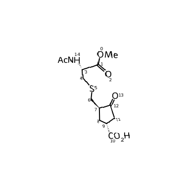 COC(=O)[C@H](CSC[C@@H]1C[C@@H](C(=O)O)CC1=O)NC(C)=O